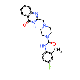 Cc1cc(F)ccc1NC(=O)N1CCN(Cc2nc3ccccc3c(=O)[nH]2)CC1